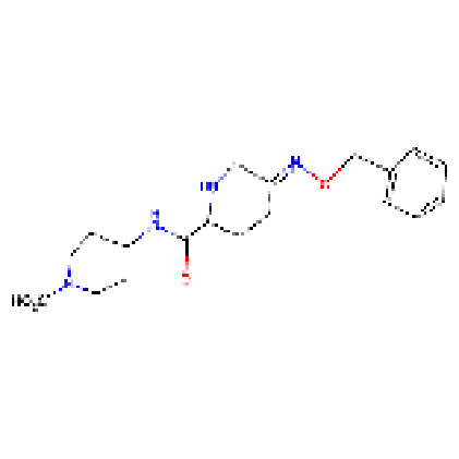 O=C(NC1CCN(C(=O)O)CC1)C1CCC(=NOCc2ccccc2)CN1